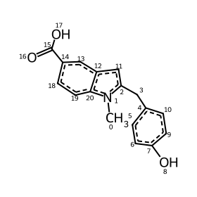 Cn1c(Cc2ccc(O)cc2)cc2cc(C(=O)O)ccc21